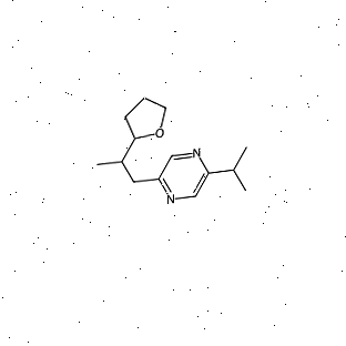 CC(C)c1cnc(CC(C)C2CCCO2)cn1